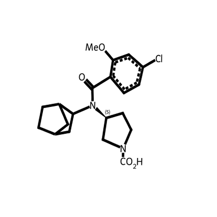 COc1cc(Cl)ccc1C(=O)N(C1CC2CCC1C2)[C@H]1CCN(C(=O)O)C1